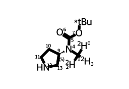 [2H]C([2H])([2H])N(C(=O)OC(C)(C)C)[C@H]1CCNC1